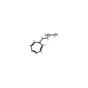 CC(C)NCCC1C=CC=CC=C1